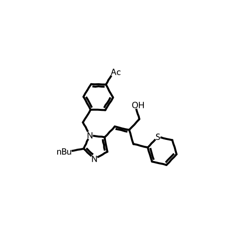 CCCCc1ncc(/C=C(/CO)CC2=CC=CCS2)n1Cc1ccc(C(C)=O)cc1